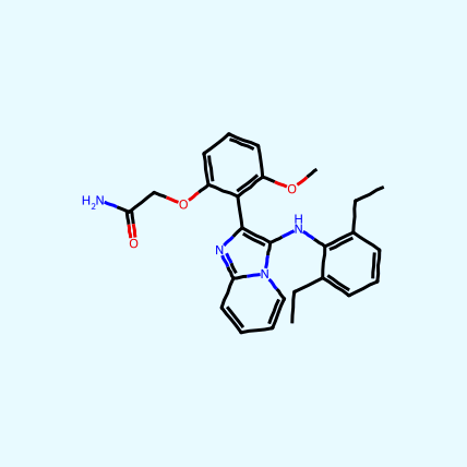 CCc1cccc(CC)c1Nc1c(-c2c(OC)cccc2OCC(N)=O)nc2ccccn12